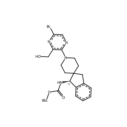 CC(C)(C)OC(=O)N[C@@H]1c2ccccc2CC12CCN(c1ncc(Br)nc1CO)CC2